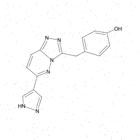 Oc1ccc(Cc2nnc3ccc(-c4cn[nH]c4)nn23)cc1